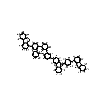 c1ccc(-n2c3ccc(-c4ccc5c(c4)c4ccccc4n5-c4ccc(-c5cccc6c5oc5ccccc56)cc4)cc3c3cccc(-c4ccc(-c5cccc6c5oc5ccccc56)cc4)c32)cc1